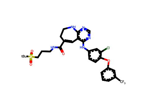 CC(C)(C)S(=O)(=O)CCCNC(=O)C1=Cc2c(ncnc2Nc2ccc(Oc3cccc(C(F)(F)F)c3)c(Cl)c2)NCC1